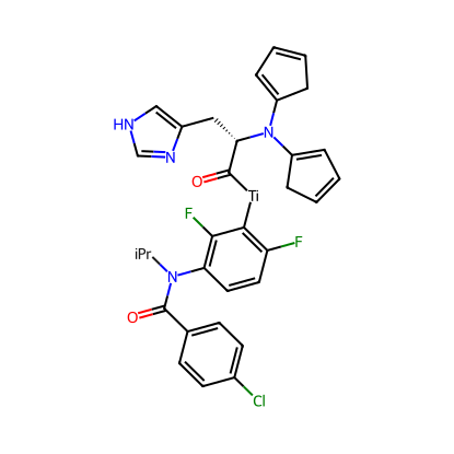 CC(C)N(C(=O)c1ccc(Cl)cc1)c1ccc(F)[c]([Ti][C](=O)[C@H](Cc2c[nH]cn2)N(C2=CC=CC2)C2=CC=CC2)c1F